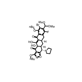 CCCCOc1noc2c1C(=O)[C@@]1(O)C(O)=C3C(=O)c4c(c(F)c(C(OC)OC)c(Br)c4OCCCC)C[C@H]3C[C@H]1[C@@H]2N1CCCC1